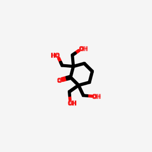 O=C1C(CO)(CO)CCCC1(CO)CO